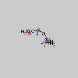 COC(=O)c1ccc(CNC(=O)/C=C/c2ccc([C@H]3C[C@@H]3N(CC3CC3)C(=O)OC(C)(C)C)cc2)cc1